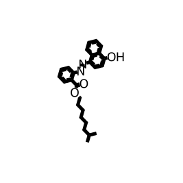 CC(C)CCCCCCOC(=O)c1ccccc1/N=N/c1ccc(O)c2ccccc12